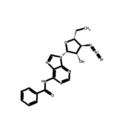 CC[C@H]1O[C@@H](n2cnc3c(NC(=O)c4ccccc4)ncnc32)[C@@H](O)[C@@H]1N=[N+]=[N-]